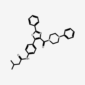 CC(C)CC(=O)Nc1ccc(-c2oc(-c3ccccc3)nc2C(=O)N2CCN(c3ccccc3)CC2)cc1